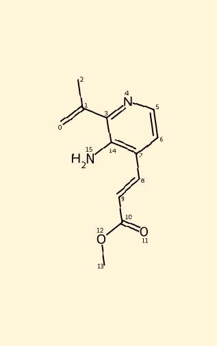 C=C(C)c1nccc(/C=C/C(=O)OC)c1N